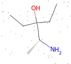 CCC(O)(CC)[C@@H](C)N